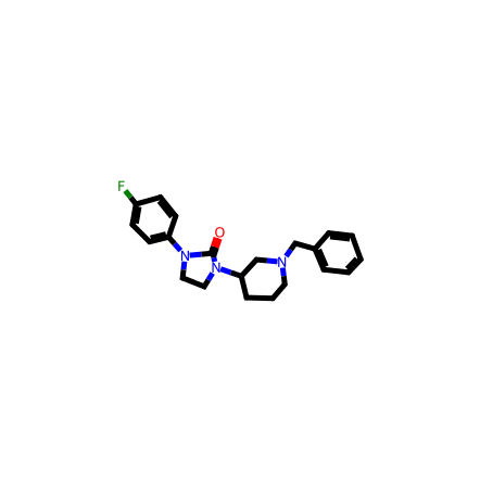 O=C1N(c2ccc(F)cc2)CCN1C1CCCN(Cc2ccccc2)C1